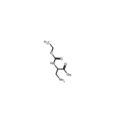 CCOC(=O)NC(CN)C(=O)O